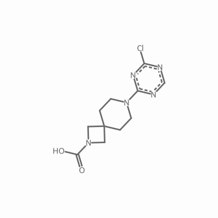 O=C(O)N1CC2(CCN(c3ncnc(Cl)n3)CC2)C1